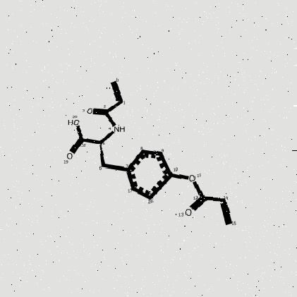 C=CC(=O)N[C@@H](Cc1ccc(OC(=O)C=C)cc1)C(=O)O